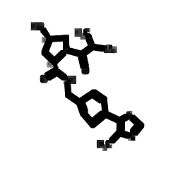 Cc1ncsc1-c1ccc(CNC(=O)[C@@H]2C[C@@H](O)CN2C(=O)C(C)C(C)(C)C)cc1